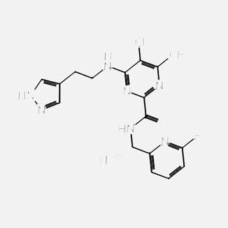 Cc1nc(C(=O)N[C@@H](C)c2cccc(F)n2)nc(NCCc2cn[nH]c2)c1C